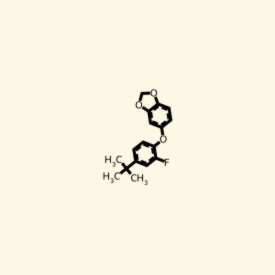 CC(C)(C)c1ccc(Oc2ccc3c(c2)OCO3)c(F)c1